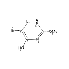 COC1=NC(O)=C(Br)[CH]N1